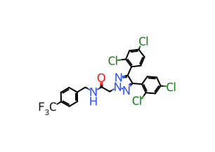 O=C(Cn1nc(-c2ccc(Cl)cc2Cl)c(-c2ccc(Cl)cc2Cl)n1)NCc1ccc(C(F)(F)F)cc1